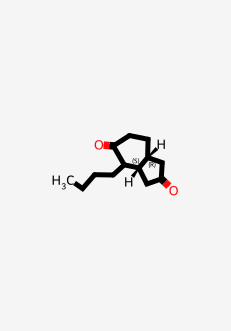 CCCCC1C(=O)CC[C@@H]2CC(=O)C[C@H]12